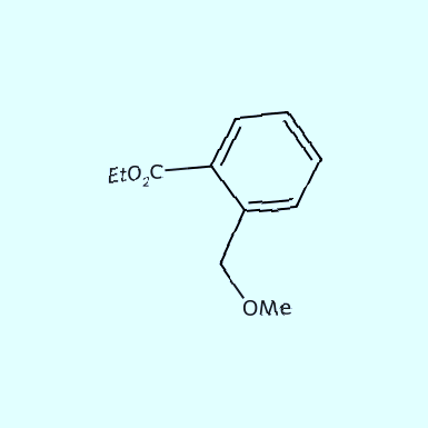 CCOC(=O)c1ccccc1COC